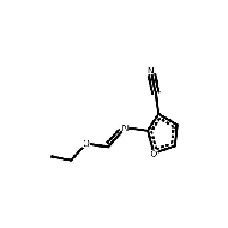 CCO/C=N/c1occc1C#N